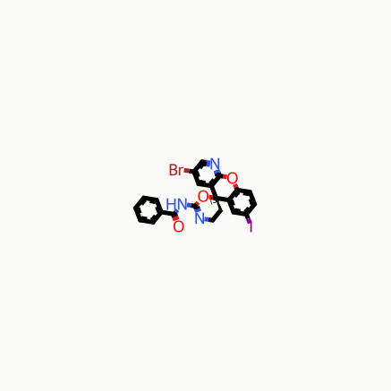 O=C(NC1=NCC[C@]2(O1)c1cc(I)ccc1Oc1ncc(Br)cc12)c1ccccc1